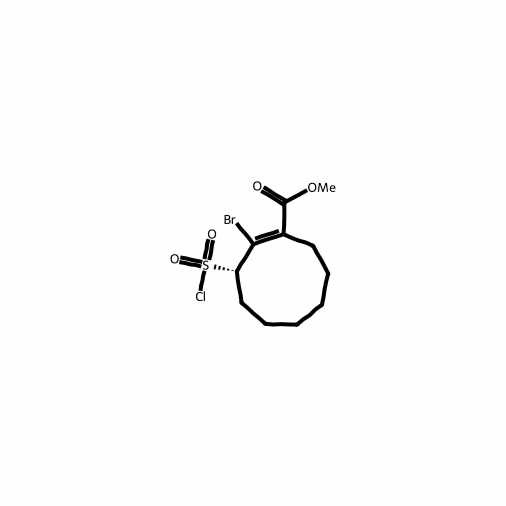 COC(=O)/C1=C(\Br)[C@@H](S(=O)(=O)Cl)CCCCCC1